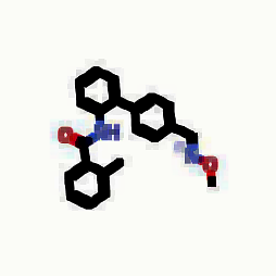 CO/N=C/c1ccc(-c2ccccc2NC(=O)c2ccccc2C)cc1